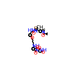 Cc1sc(NC(=O)Cc2cccc(OCCCCCNc3cccc4c3C(=O)N(C3CCC(=O)NC3=O)C4=O)c2)nc1-c1ccc2c(c1)CCN2C(=O)C1CC1